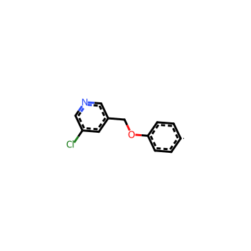 Clc1cncc(COc2cc[c]cc2)c1